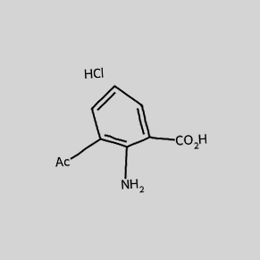 CC(=O)c1cccc(C(=O)O)c1N.Cl